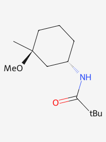 CO[C@@]1(C)CCC[C@H](NC(=O)C(C)(C)C)C1